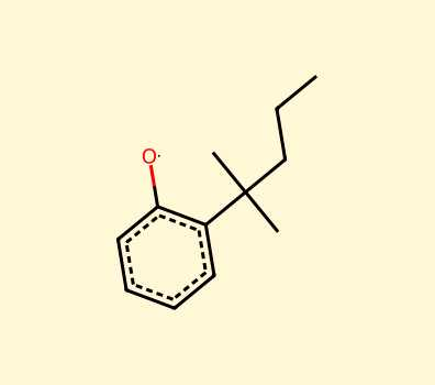 CCCC(C)(C)c1ccccc1[O]